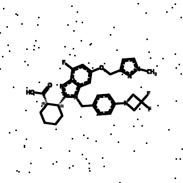 Cn1ccc(COc2cc(F)c3nc([C@@H]4CCCC[C@@H]4C(=O)O)n(Cc4ccc(N5CC(F)(F)C5)cc4)c3c2)n1